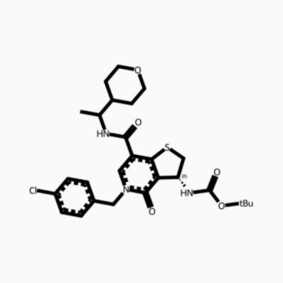 CC(NC(=O)c1cn(Cc2ccc(Cl)cc2)c(=O)c2c1SC[C@@H]2NC(=O)OC(C)(C)C)C1CCOCC1